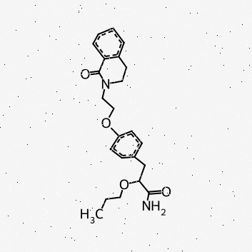 CCCOC(Cc1ccc(OCCN2CCc3ccccc3C2=O)cc1)C(N)=O